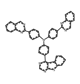 c1ccc2nc(-c3ccc(N(c4ccc(-c5ncc6ccccc6n5)cc4)c4ccc(-c5ncnc6sc7ccccc7c56)cc4)cc3)ncc2c1